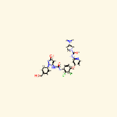 CN(C)[C@H]1CCN(C(=O)Nc2cc(Oc3ccc(NC(=O)Nc4cc(O)nn4-c4ccc(CO)cc4)c(Cl)c3Cl)ccn2)C1